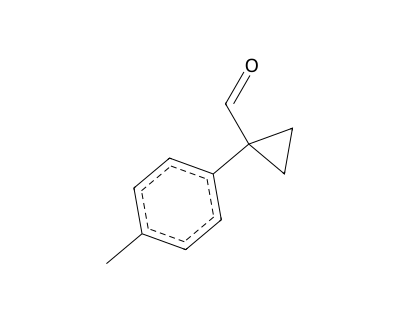 Cc1ccc(C2(C=O)CC2)cc1